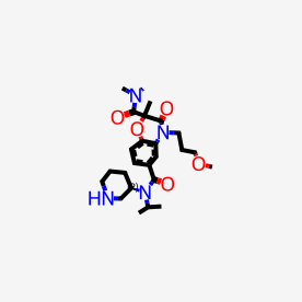 COCCCN1C(=O)C(C)(C(=O)N(C)C)Oc2ccc(C(=O)N(C(C)C)[C@@H]3CCCNC3)cc21